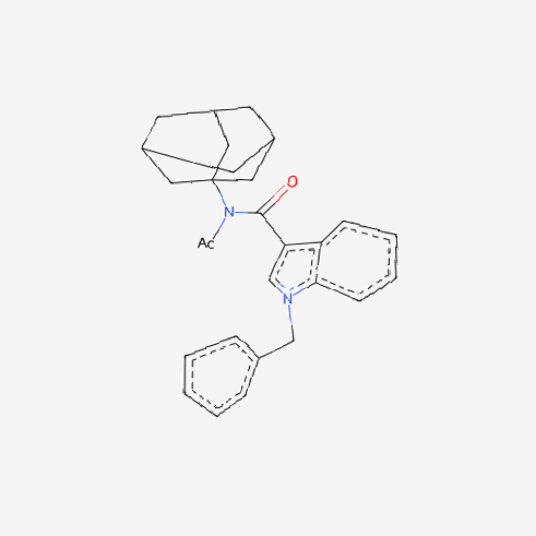 CC(=O)N(C(=O)c1cn(Cc2ccccc2)c2ccccc12)C12CC3CC(CC(C3)C1)C2